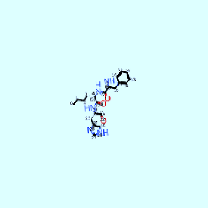 CCCC[C@H](NC(=O)[C@@H](N)Cc1ccccc1)C(=O)N[C@H]([C]=O)Cc1c[nH]cn1